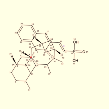 CC1CC[C@@H]2C[C@H](n3c(=O)c(/C=C/P(=O)(O)O)nc4ccccc43)CC1N2[C@H]1CC(C)C(C)[C@H]2C[C@@H](C1)C2